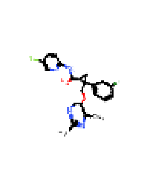 Cc1ncc(OCC2(c3cccc(Cl)c3)CC2C(O)Nc2ccc(F)cn2)c(C)n1